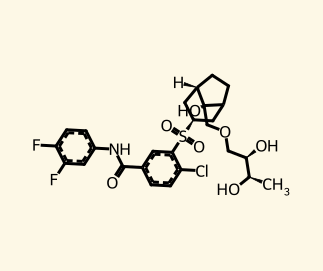 C[C@@H](O)[C@H](O)COC[C@@]1(O)C2CC[C@H]1C[C@H](S(=O)(=O)c1cc(C(=O)Nc3ccc(F)c(F)c3)ccc1Cl)C2